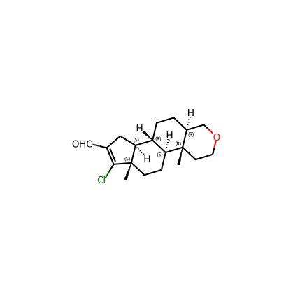 C[C@]12CCOC[C@@H]1CC[C@@H]1[C@@H]2CC[C@]2(C)C(Cl)=C(C=O)C[C@@H]12